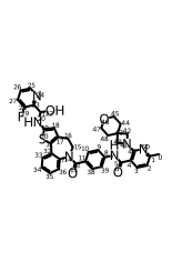 Cc1ccc(C(=O)Nc2ccc(C(=O)N3CCc4cc(NC(O)c5ncccc5F)sc4-c4ccccc43)cc2)c(N2CC3(CCOCC3)C2)n1